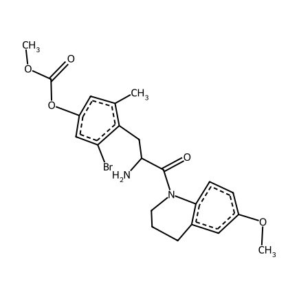 COC(=O)Oc1cc(C)c(CC(N)C(=O)N2CCCc3cc(OC)ccc32)c(Br)c1